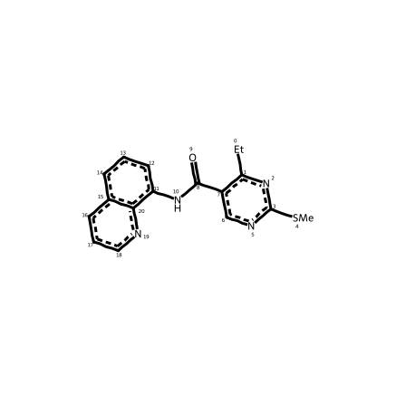 CCc1nc(SC)ncc1C(=O)Nc1cccc2cccnc12